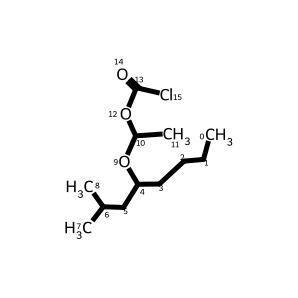 CCCCC(CC(C)C)OC(C)OC(=O)Cl